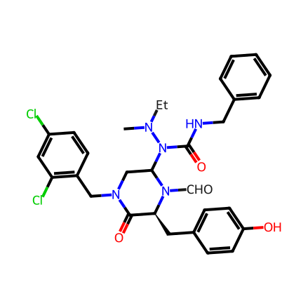 CCN(C)N(C(=O)NCc1ccccc1)C1CN(Cc2ccc(Cl)cc2Cl)C(=O)[C@H](Cc2ccc(O)cc2)N1C=O